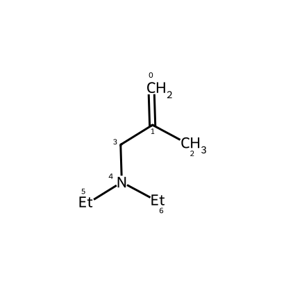 C=C(C)CN(CC)CC